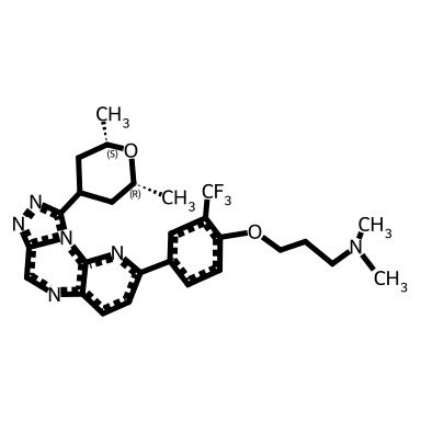 C[C@@H]1CC(c2nnc3cnc4ccc(-c5ccc(OCCCN(C)C)c(C(F)(F)F)c5)nc4n23)C[C@H](C)O1